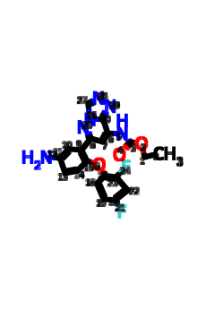 CCOC(=O)Nc1cc(-c2cc(N)ccc2Oc2ccc(F)cc2F)nn2cnnc12